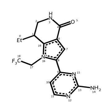 CCC1CNC(=O)c2cc(-c3ccnc(N)n3)n(CC(F)(F)F)c21